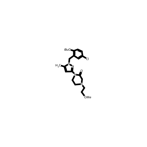 COCCN1CCN(c2cc(C)n(Cc3cc(Cl)ccc3OCC(C)C)n2)C(=O)C1